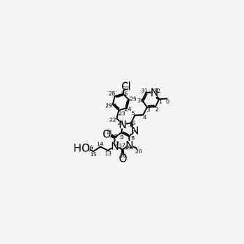 Cc1cc(CCc2nc3c(c(=O)n(CCCO)c(=O)n3C)n2Cc2ccc(Cl)cc2)ccn1